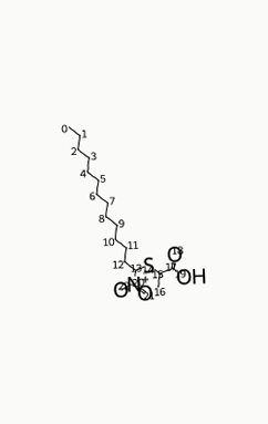 CCCCCCCCCCCCCC(SC(C)C(=O)O)[N+](=O)[O-]